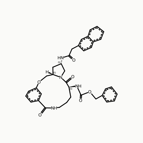 O=C(Cc1ccc2ccccc2c1)N[C@H]1C[C@H]2COc3cccc(c3)C(=O)NCCC[C@H](NC(=O)OCc3ccccc3)C(=O)N2C1